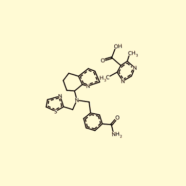 Cc1ncnc(C)c1C(=O)O.NC(=O)c1cccc(CN(Cc2nccs2)C2CCCc3cccnc32)c1